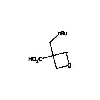 CCCCCC1(C(=O)O)[CH]OC1